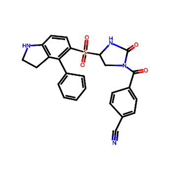 N#Cc1ccc(C(=O)N2CC(S(=O)(=O)c3ccc4c(c3-c3ccccc3)CCN4)NC2=O)cc1